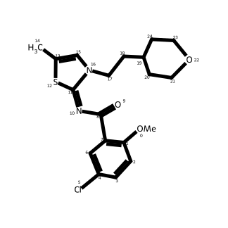 COc1ccc(Cl)cc1C(=O)N=c1sc(C)cn1CCC1CCOCC1